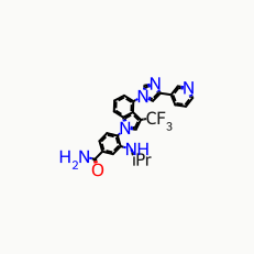 CC(C)Nc1cc(C(N)=O)ccc1-n1cc(C(F)(F)F)c2c(-n3cnc(-c4cccnc4)c3)cccc21